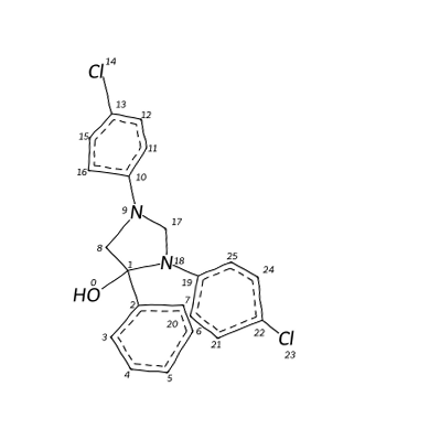 OC1(c2ccccc2)CN(c2ccc(Cl)cc2)CN1c1ccc(Cl)cc1